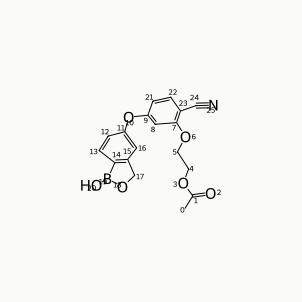 CC(=O)OCCOc1cc(Oc2ccc3c(c2)COB3O)ccc1C#N